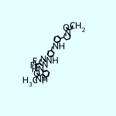 C=CC(=O)N1CCCC(c2cccc(NCc3ccc(Nc4ncc(C(F)(F)F)c(Nc5cccc(F)c5C(=O)NC)n4)cc3)c2)C1